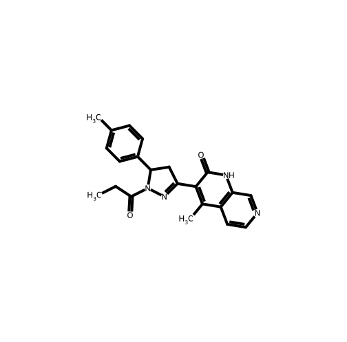 CCC(=O)N1N=C(c2c(C)c3ccncc3[nH]c2=O)CC1c1ccc(C)cc1